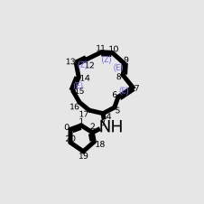 C1=CC(NC2C/C=C/C=C/C=C\C=C/C=C/CC2)=CCC1